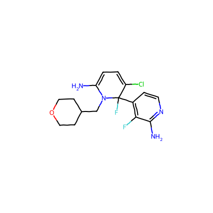 NC1=CC=C(Cl)C(F)(c2ccnc(N)c2F)N1CC1CCOCC1